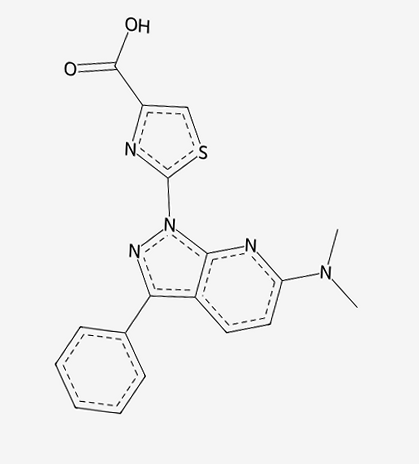 CN(C)c1ccc2c(-c3ccccc3)nn(-c3nc(C(=O)O)cs3)c2n1